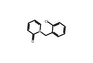 O=c1ccccn1Cc1ccccc1Cl